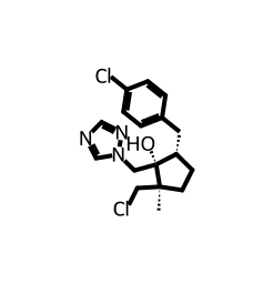 C[C@@]1(CCl)CC[C@@H](Cc2ccc(Cl)cc2)[C@]1(O)Cn1cncn1